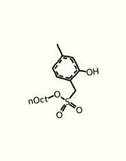 CCCCCCCCOS(=O)(=O)Cc1ccc(C)cc1O